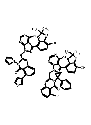 CC1(C)Cc2c(-c3nn(Cc4nc5cccc(-c6ccsc6)c5c(=O)n4-n4cccc4)c4ncnc(N)c34)ccc(O)c2O1.CC1(C)Cc2c(-c3nn(Cc4nc5cccc(Br)c5c(=O)n4C4(c5ccccc5)CC4)c4ncnc(N)c34)ccc(O)c2O1